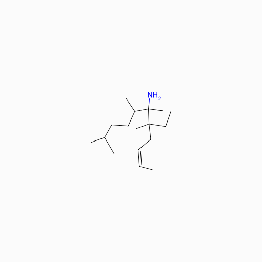 C/C=C\CC(C)(CC)C(C)(N)C(C)CCC(C)C